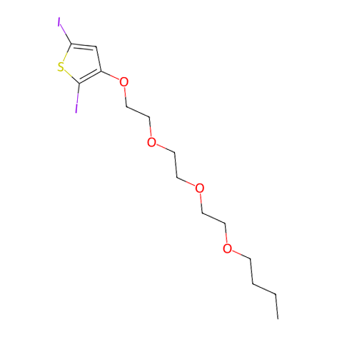 CCCCOCCOCCOCCOc1cc(I)sc1I